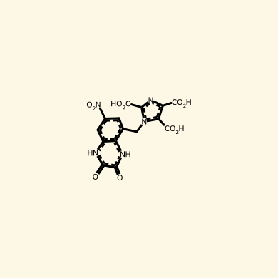 O=C(O)c1nc(C(=O)O)n(Cc2cc([N+](=O)[O-])cc3[nH]c(=O)c(=O)[nH]c23)c1C(=O)O